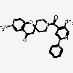 Nc1ccc2c(c1)C(=O)CC1(CCN(C(=O)c3cc(-c4ccccc4)ncc3N)CC1)O2